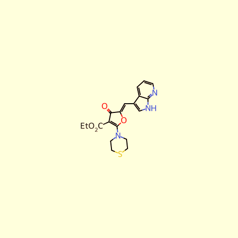 CCOC(=O)C1=C(N2CCSCC2)OC(=Cc2c[nH]c3ncccc23)C1=O